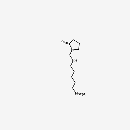 CCCCCCCCCCCCNCN1CCCC1=O